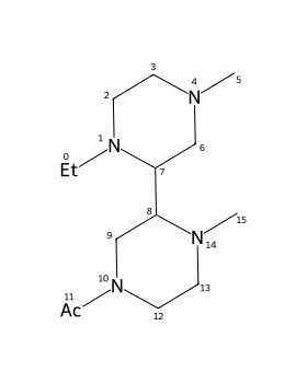 CCN1CCN(C)CC1C1CN(C(C)=O)CCN1C